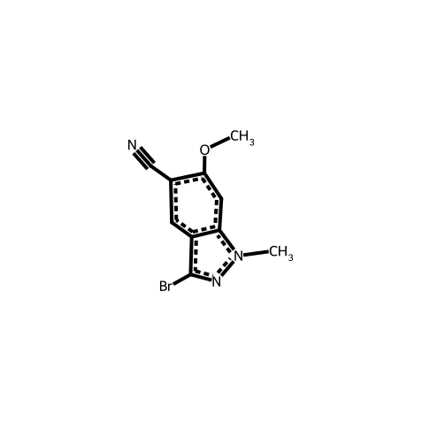 COc1cc2c(cc1C#N)c(Br)nn2C